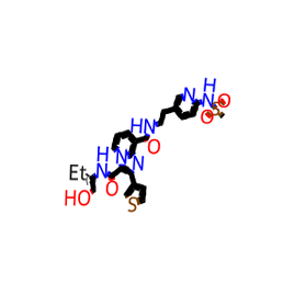 CC[C@@H](CO)NC(=O)c1c(-c2ccsc2)nc2c(C(=O)NCCc3ccc(NS(C)(=O)=O)nc3)cccn12